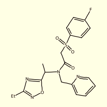 CCc1noc(C(C)N(Cc2ccccn2)C(=O)CS(=O)(=O)c2ccc(F)cc2)n1